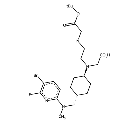 CN(C[C@H]1CC[C@H](N(CCNCC(=O)OC(C)(C)C)CC(=O)O)CC1)c1ccc(Br)c(F)n1